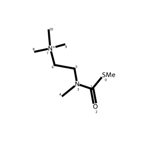 CSC(=O)N(C)CC[N+](C)(C)C